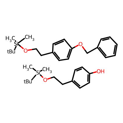 CC(C)(C)[Si](C)(C)OCCc1ccc(O)cc1.CC(C)(C)[Si](C)(C)OCCc1ccc(OCc2ccccc2)cc1